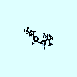 COc1ncnc(C2CC2)c1-c1c[nH]c(Cc2ccc(-n3nc(C(F)(F)F)cc3C)cc2F)c1